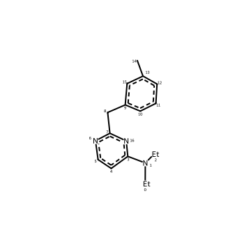 CCN(CC)c1ccnc(Cc2cccc(C)c2)n1